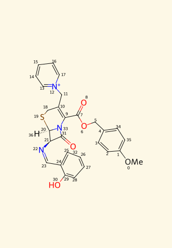 COc1ccc(COC(=O)C2=C(C[n+]3ccccc3)CS[C@@H]3[C@H](/N=C\c4ccccc4O)C(=O)N23)cc1